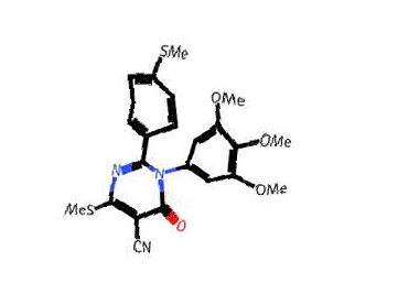 COc1cc(-n2c(-c3ccc(SC)cc3)nc(SC)c(C#N)c2=O)cc(OC)c1OC